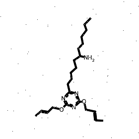 CC=CCOc1nc(CCCCCC(N)CCCCCC)nc(OCC=CC)n1